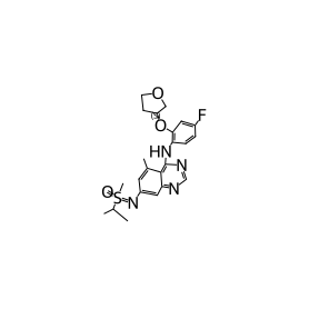 Cc1cc(N=S(C)(=O)C(C)C)cc2ncnc(Nc3ccc(F)cc3O[C@H]3CCOC3)c12